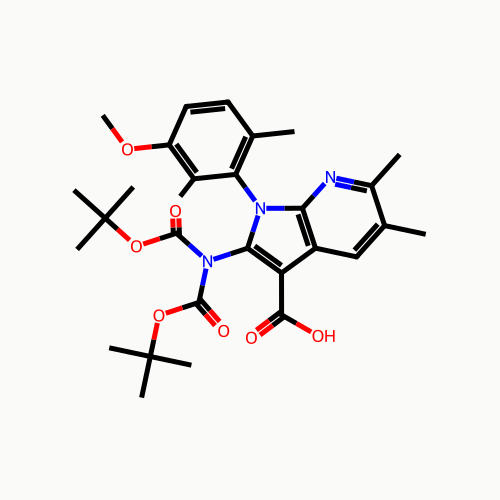 COc1ccc(C)c(-n2c(N(C(=O)OC(C)(C)C)C(=O)OC(C)(C)C)c(C(=O)O)c3cc(C)c(C)nc32)c1C